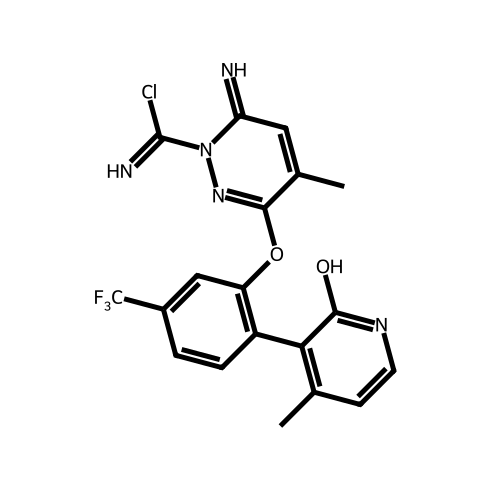 Cc1cc(=N)n(C(=N)Cl)nc1Oc1cc(C(F)(F)F)ccc1-c1c(C)ccnc1O